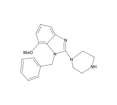 COc1cccc2nc(N3CCNCC3)n(Cc3ccccc3)c12